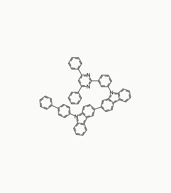 c1ccc(-c2ccc(-n3c4ccccc4c4cc(-c5ccc6c7ccccc7n(-c7cccc(-c8nc(-c9ccccc9)cc(-c9ccccc9)n8)c7)c6c5)ccc43)cc2)cc1